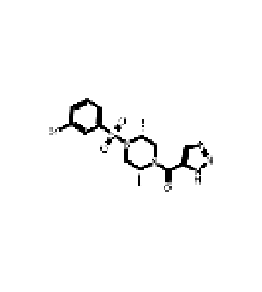 C[C@@H]1CN(C(=O)c2cnn[nH]2)[C@@H](C)CN1S(=O)(=O)c1cccc(Br)c1